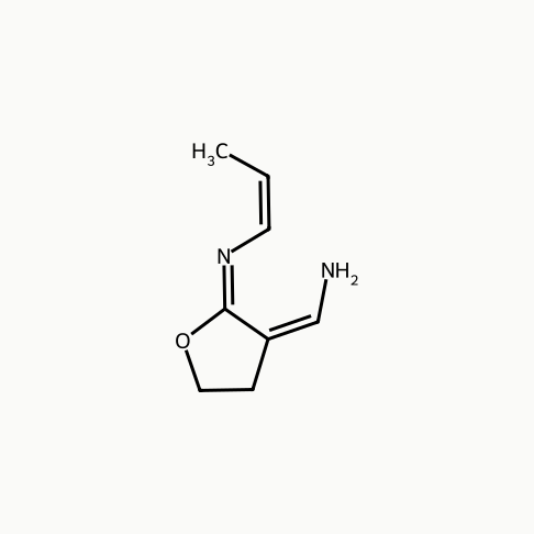 C\C=C/N=C1/OCC/C1=C/N